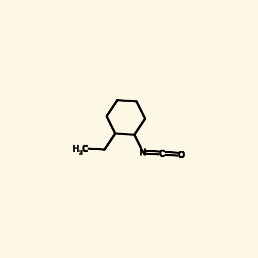 CCC1CCCCC1N=C=O